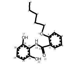 CCCCCOc1ccccc1C(=O)Nc1c(O)cccc1O